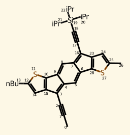 CC#CC1=c2cc3c(cc2-c2sc(CCCC)cc21)=C(C#C[Si](C(C)C)(C(C)C)C(C)C)c1cc(C)sc1-3